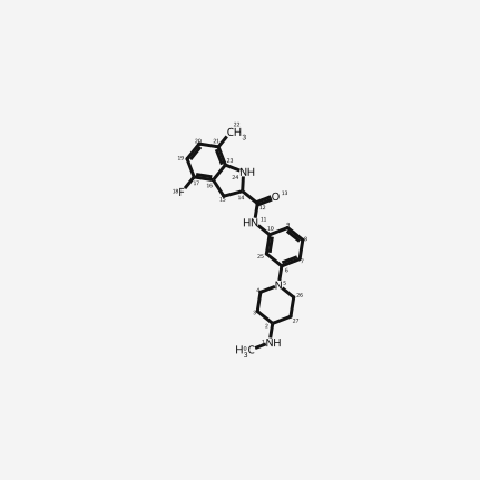 CNC1CCN(c2cccc(NC(=O)C3Cc4c(F)ccc(C)c4N3)c2)CC1